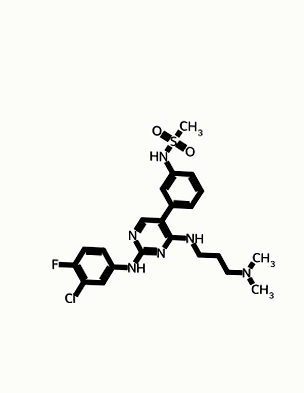 CN(C)CCCNc1nc(Nc2ccc(F)c(Cl)c2)ncc1-c1cccc(NS(C)(=O)=O)c1